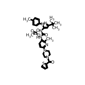 Cc1ccc(-n2nc(C(C)(C)C)cc2N(OS(C)(=O)=O)C(=O)Nc2ccc(N3CCN(C(=O)c4cccs4)CC3)nc2C)cc1